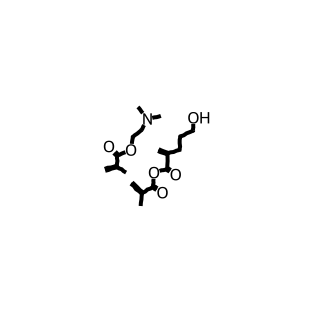 C=C(C)C(=O)OC(=O)C(=C)CCCO.C=C(C)C(=O)OCCN(C)C